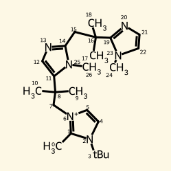 Cc1n(C(C)(C)C)cc[n+]1CC(C)(C)c1cnc(CC(C)(C)c2nccn2C)n1C